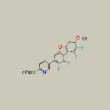 CCCCCc1ccc(-c2cc3oc4cc(OCC)c(F)c(F)c4c3c(F)c2F)cn1